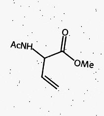 C=CC(NC(C)=O)C(=O)OC